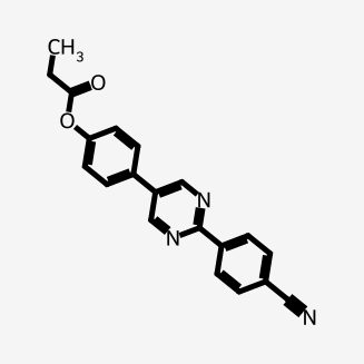 CCC(=O)Oc1ccc(-c2cnc(-c3ccc(C#N)cc3)nc2)cc1